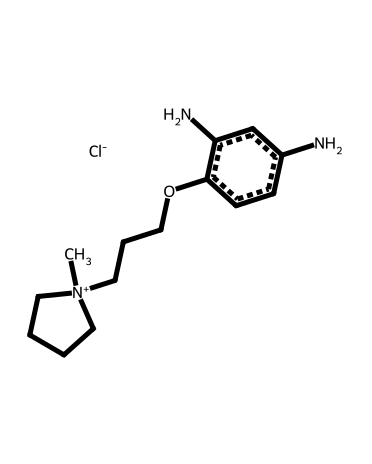 C[N+]1(CCCOc2ccc(N)cc2N)CCCC1.[Cl-]